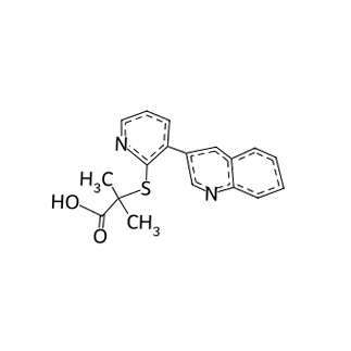 CC(C)(Sc1ncccc1-c1cnc2ccccc2c1)C(=O)O